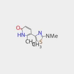 CNc1nc(-c2ccc(=O)[nH]c2C)c(C)s1